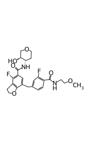 COCCNC(=O)c1ccc(Cc2cc(C(=O)N[C@H]3CCOC[C@@H]3O)c(F)c3c2OCC3)cc1F